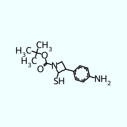 CC(C)(C)OC(=O)N1CC(c2ccc(N)cc2)C1S